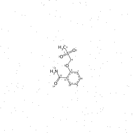 CS(=O)(=O)COc1ccccc1C(N)=O